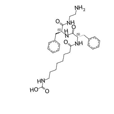 NCCNC(=O)[C@H](Cc1ccccc1)NC(=O)[C@H](Cc1ccccc1)NC(=O)CCCCCCCNC(=O)O